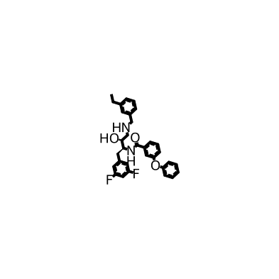 CCc1cccc(CNC[C@H](O)[C@H](Cc2cc(F)cc(F)c2)NC(=O)c2cccc(Oc3ccccc3)c2)c1